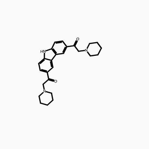 O=C(CN1CCCCC1)c1ccc2[nH]c3ccc(C(=O)CN4CCCCC4)cc3c2c1